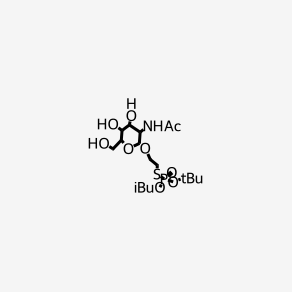 CC(=O)NC1C(OCCSP(=O)(OCC(C)C)OC(C)(C)C)OC(CO)C(O)C1O